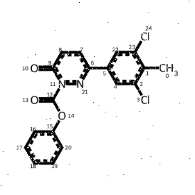 Cc1c(Cl)cc(-c2ccc(=O)n(C(=O)Oc3ccccc3)n2)cc1Cl